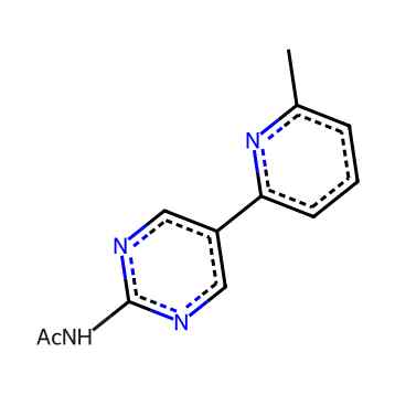 CC(=O)Nc1ncc(-c2cccc(C)n2)cn1